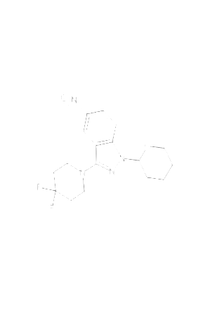 O=[N+]([O-])c1ccc2c(c1)c(N1CCC(F)(F)CC1)nn2C1CCCCO1